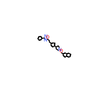 c1ccc(-c2noc(CCc3ccc(C4CCN(OCc5ccc6ccccc6c5)CC4)cc3)n2)cc1